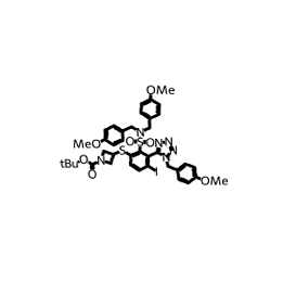 COc1ccc(CN(Cc2ccc(OC)cc2)S(=O)(=O)c2c(SC3CN(C(=O)OC(C)(C)C)C3)ccc(I)c2-c2nnnn2Cc2ccc(OC)cc2)cc1